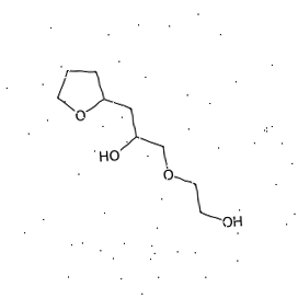 OCCOCC(O)CC1CCCO1